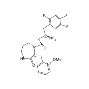 CO[n+]1ccccc1C[C@@H]1C(=O)NCCCN1C(=O)C[C@H](N)Cc1cc(F)c(F)cc1F